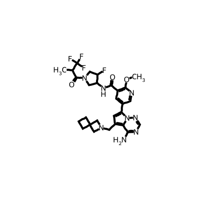 COc1ncc(-c2cc(CN3CC4(CCC4)C3)c3c(N)ncnn23)cc1C(=O)NC1CN(C(=O)C(C)C(F)(F)F)CC1F